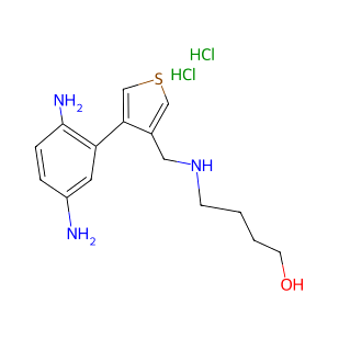 Cl.Cl.Nc1ccc(N)c(-c2cscc2CNCCCCO)c1